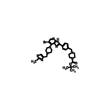 Cc1nc(CN2CCN(c3c(Br)cnc4[nH]c(-c5ccc(CN6CCN(C(=O)OC(C)(C)C)CC6)cc5)nc34)CC2)cs1